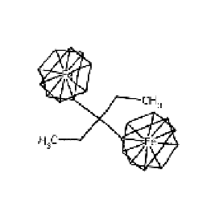 CCC(CC)([C]12[CH]3[CH]4[CH]5[CH]1[Fe]45321678[CH]2[CH]1[CH]6[CH]7[CH]28)[C]12[CH]3[CH]4[CH]5[CH]1[Fe]45321678[CH]2[CH]1[CH]6[CH]7[CH]28